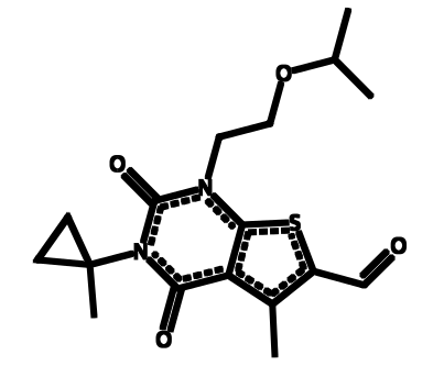 Cc1c(C=O)sc2c1c(=O)n(C1(C)CC1)c(=O)n2CCOC(C)C